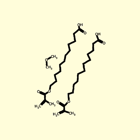 C=C(C)C(=O)OCCCCCCCCCCCC(=O)O.C=C(C)C(=O)OCCCCCCCCCCCC(=O)O.COC